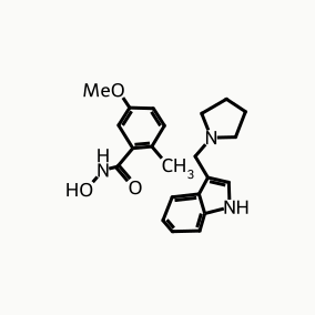 COc1ccc(C)c(C(=O)NO)c1.c1ccc2c(CN3CCCC3)c[nH]c2c1